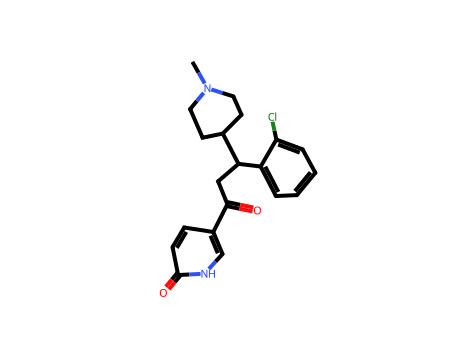 CN1CCC(C(CC(=O)c2ccc(=O)[nH]c2)c2ccccc2Cl)CC1